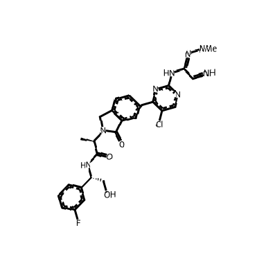 CN/N=C(\C=N)Nc1ncc(Cl)c(-c2ccc3c(c2)C(=O)N([C@H](C)C(=O)N[C@H](CO)c2cccc(F)c2)C3)n1